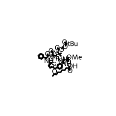 CC(C)(C)C(=O)OCOC(=O)[C@@H]1N2C(=O)[C@@H](NC(=O)[C@H](N)c3ccccc3)[C@H]2SC1(C)C.CCCCCCCCC(=O)O.COC(=O)Nc1nc2cc(C(=O)c3cccs3)ccc2[nH]1